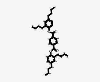 CCCCc1ccc(OC(=O)c2ccc(C(=O)Oc3ccc(CCCC)cc3CCCC)cc2)c(CCCC)c1